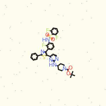 CC(C)(C)OC(=O)N1CCC(Nc2nccc(-c3sc(-c4ccccc4)nc3-c3cccc(NS(=O)(=O)c4c(F)cccc4F)c3F)n2)CC1